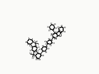 CC1(C)c2ccccc2-c2cc3c(cc21)-c1c(-c2ccc(-c4ccc(-c5nc(-c6ccccc6)c6c(n5)oc5ccccc56)cc4)cc2)cccc1C3(C)C